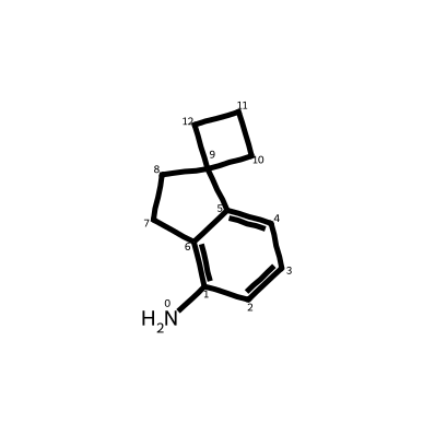 Nc1cccc2c1CCC21CCC1